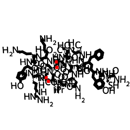 CC(C)C[C@H](NC(=O)[C@@H](NC(=O)[C@H](CC(N)=O)NC(=O)[C@H](CO)NC(=O)[C@H](CO)NC(=O)[C@H](CC(=O)O)NC(=O)[C@H](CC(=O)O)NNC(=O)C(Cc1ccccc1)CC(O)C(Cc1ccc(O)cc1)NC(=O)N[C@@H](CS)C(N)=O)C(C)C)C(=O)N[C@@H](CS)C(=O)NC(CCCCN)C(=O)N[C@@H](CCCCN)C(=O)NC(Cc1ccc(O)cc1)C(=O)N[C@@H](CCCNC(=N)N)C(=O)NC(CO)C(=O)O